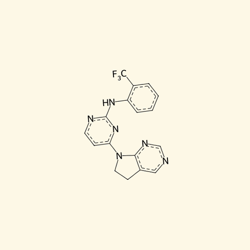 FC(F)(F)c1ccccc1Nc1nccc(N2CCc3cncnc32)n1